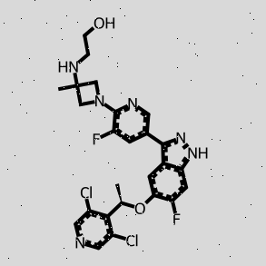 C[C@@H](Oc1cc2c(-c3cnc(N4CC(C)(NCCO)C4)c(F)c3)n[nH]c2cc1F)c1c(Cl)cncc1Cl